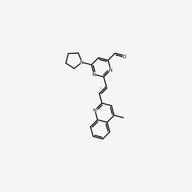 Cc1cc(/C=C/c2nc(C=O)cc(N3CCCC3)n2)nc2ccccc12